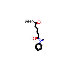 CNC(=O)CCCCC(=O)N(C)c1ccccc1